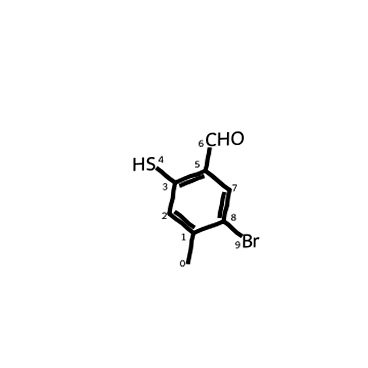 Cc1cc(S)c(C=O)cc1Br